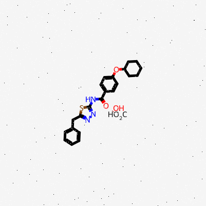 O=C(Nc1nnc(Cc2ccccc2)s1)c1ccc(OC2CCCCC2)cc1.O=C(O)O